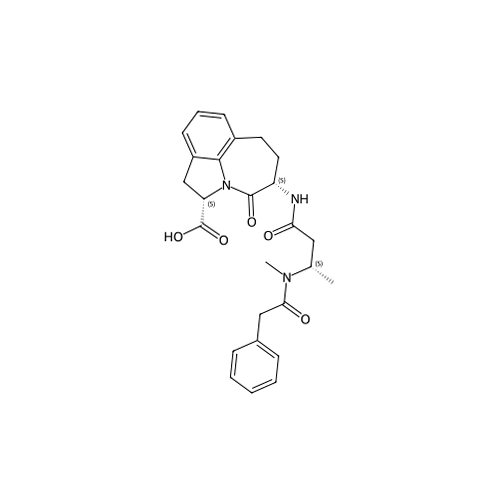 C[C@@H](CC(=O)N[C@H]1CCc2cccc3c2N(C1=O)[C@H](C(=O)O)C3)N(C)C(=O)Cc1ccccc1